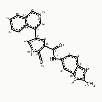 Cc1nc2ccc(NC(=O)c3cc(-c4cncc5ccccc45)c[nH]c3=O)cc2s1